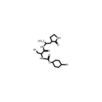 CC(C)CC(NC(=O)OC1CCC(C(C)C)CC1)C(=O)NC(CC1CCNC1=O)C(=O)O